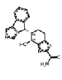 NC(=O)c1nc2c(s1)CC[C@@H](C1c3ccccc3-c3cncn31)[C@@H]2O